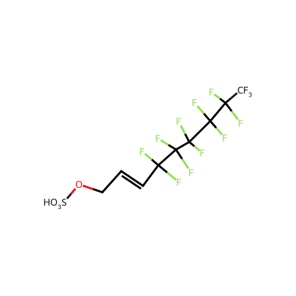 O=S(=O)(O)OCC=CC(F)(F)C(F)(F)C(F)(F)C(F)(F)C(F)(F)C(F)(F)F